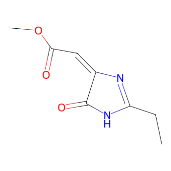 CCC1=N/C(=C/C(=O)OC)C(=O)N1